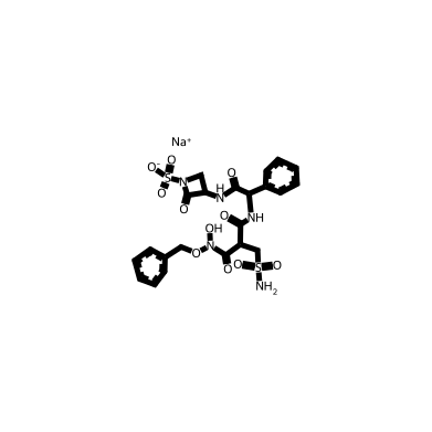 NS(=O)(=O)CC(C(=O)NC(C(=O)NC1CN(S(=O)(=O)[O-])C1=O)c1ccccc1)C(=O)N(O)OCc1ccccc1.[Na+]